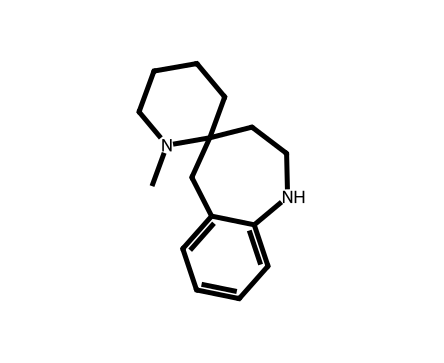 CN1CCCCC12CCNc1ccccc1C2